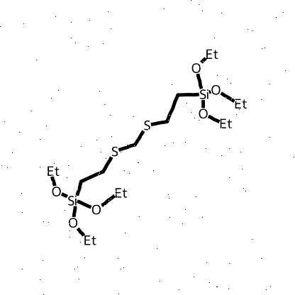 CCO[Si](CCSCSCC[Si](OCC)(OCC)OCC)(OCC)OCC